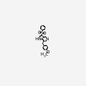 COc1ccc(Cc2cncc3c(S(=O)(=O)c4ccccc4)c[nH]c23)cc1